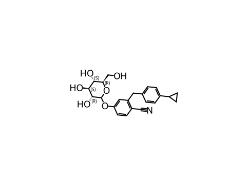 N#Cc1ccc(OC2O[C@H](CO)[C@@H](O)[C@H](O)[C@H]2O)cc1Cc1ccc(C2CC2)cc1